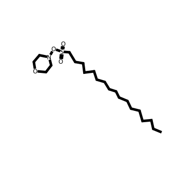 CCCCCCCCCCCCCCCCCS(=O)(=O)ON1CCOCC1